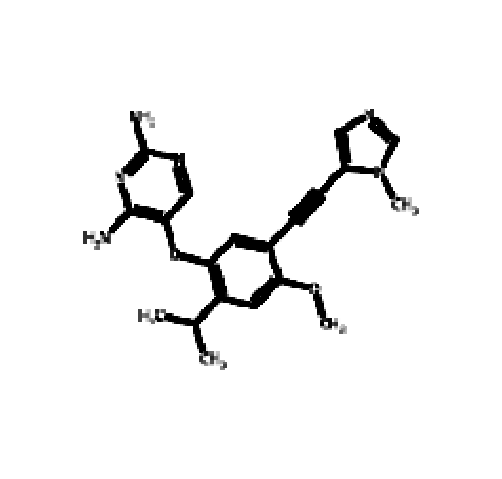 COc1cc(C(C)C)c(Oc2cnc(N)nc2N)cc1C#Cc1cncn1C